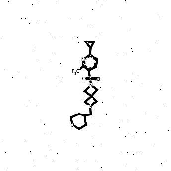 O=S(=O)(c1ccc(C2CC2)nc1C(F)(F)F)N1CC2(CN(CC3CCOCC3)C2)C1